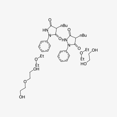 CCCCC1C(=O)NN(c2ccccc2)C1=O.CCCCC1C(=O)NN(c2ccccc2)C1=O.CCOCC.CCOCC.OCCO.OCCOCCO